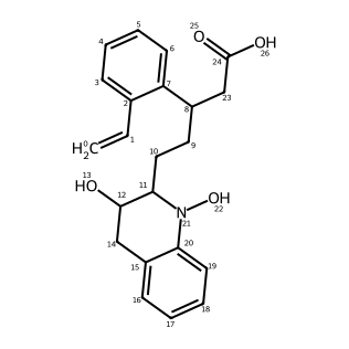 C=Cc1ccccc1C(CCC1C(O)Cc2ccccc2N1O)CC(=O)O